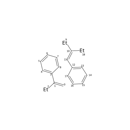 C=C(CC)c1ccccc1.CCC(=Cc1ccccc1)CC